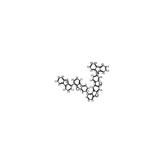 c1cc(-c2ccc3c(c2)oc2c(-c4cccc5c4sc4ccccc45)cccc23)c2c(c1)oc1cc3oc4cc(-n5c6ccccc6c6ccccc65)ccc4c3cc12